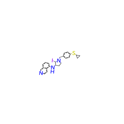 IC1C(Nc2cccc3cnccc23)CCN1Cc1ccc(SC2CC2)cc1